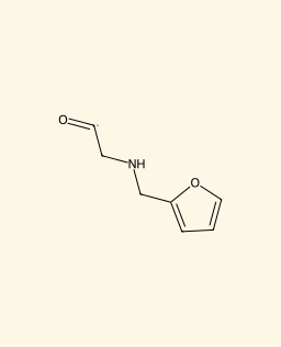 O=[C]CNCc1ccco1